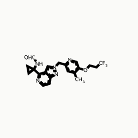 Cc1cc(Cn2cc3c(C4(NC=O)CC4)nccc3n2)ncc1OCCC(F)(F)F